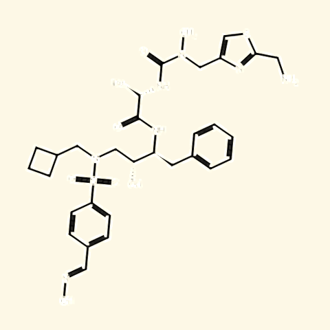 CC[C@H](C)[C@H](NC(=O)N(C)Cc1csc(CN)n1)C(=O)N[C@@H](Cc1ccccc1)[C@H](O)CN(CC1CCC1)S(=O)(=O)c1ccc(C=NO)cc1